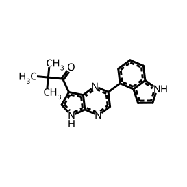 CC(C)(C)C(=O)c1c[nH]c2ncc(-c3cccc4[nH]ccc34)nc12